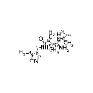 C=C(C(=O)NCc1cncn1C)/C(C)=C(/N)NC1(C)CC1